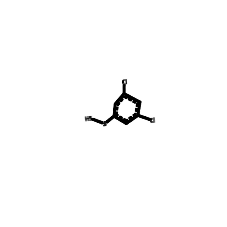 SSc1cc(Cl)cc(Cl)c1